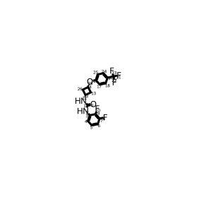 O=C(Nc1cccc(F)c1F)N[C@H]1C[C@H](Oc2ccc(C(F)(F)F)cc2)C1